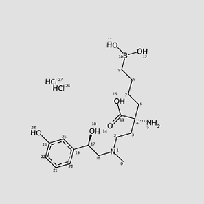 CN(CC[C@](N)(CCCCB(O)O)C(=O)O)C[C@H](O)c1cccc(O)c1.Cl.Cl